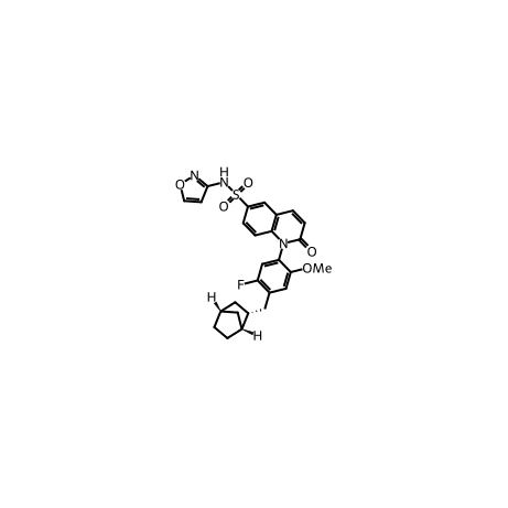 COc1cc(C[C@H]2C[C@H]3CC[C@@H]2C3)c(F)cc1-n1c(=O)ccc2cc(S(=O)(=O)Nc3ccon3)ccc21